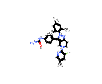 Cc1cc(C)c(-n2nc3c(c2-c2ccc(NC(N)=O)cc2)CN(c2ncc(C(F)(F)F)cc2F)CC3)c(C)c1